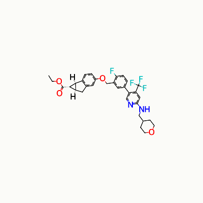 CCOC(=O)[C@H]1[C@@H]2Cc3cc(OCc4cc(-c5cnc(NCC6CCOCC6)cc5C(F)(F)F)ccc4F)ccc3[C@@H]21